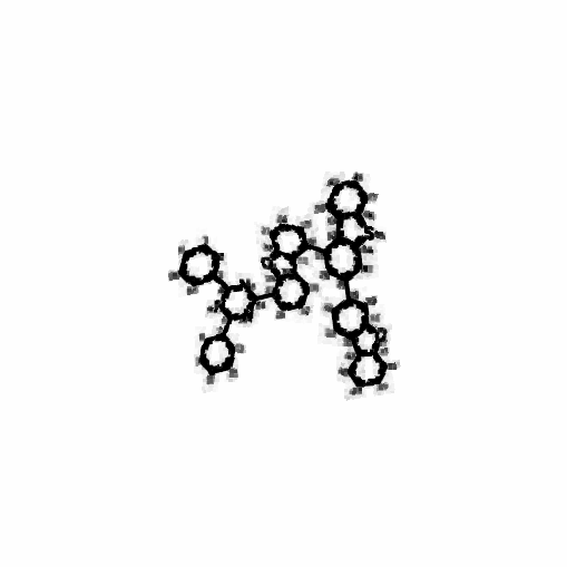 c1ccc(-c2nc(-c3ccccc3)nc(-c3cccc4c3oc3cccc(-c5cc(-c6ccc7c(c6)oc6ccccc67)cc6sc7ccccc7c56)c34)n2)cc1